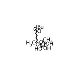 CC(CCCCC(=O)OC(C)(C)C)O[C@@H]1OC(C)[C@H](O)C(O)[C@@H]1O